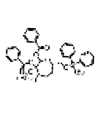 CCCCO[C@@H]1CC[C@@H](CO[Si](c2ccccc2)(c2ccccc2)C(C)(C)C)OC(OC(=O)c2ccccc2)[C@]1(C)OC(=O)c1ccccc1